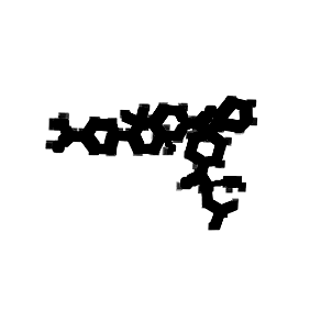 CC(C)C[C@@H](N)C(=O)N1CCC(C(=O)N2CC=C3C(C)(C)C(c4ccc(C(=O)O)cc4)=CC[C@]3(C)C2)(c2ccccc2)CC1